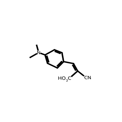 CN(C)c1ccc(C=C(C#N)C(=O)O)cc1